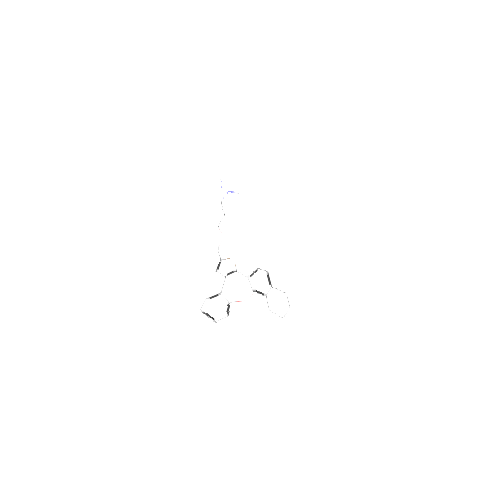 CN(C)CCCOCc1cc2c(s1)-c1ccc3c(c1Oc1ccccc1-2)CCCC3